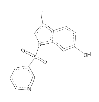 [CH2]c1cn(S(=O)(=O)c2cccnc2)c2cc(O)ccc12